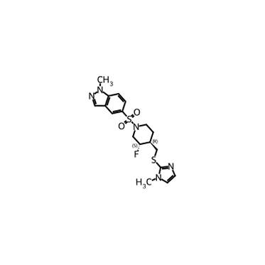 Cn1ccnc1SC[C@@H]1CCN(S(=O)(=O)c2ccc3c(cnn3C)c2)C[C@H]1F